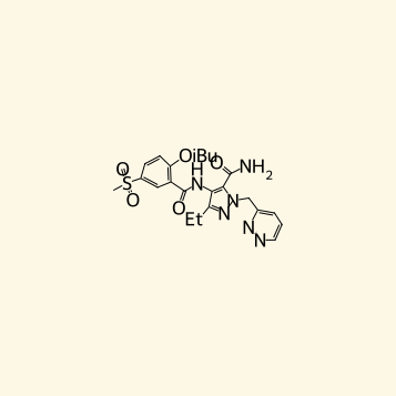 CCc1nn(Cc2cccnn2)c(C(N)=O)c1NC(=O)c1cc(S(C)(=O)=O)ccc1OCC(C)C